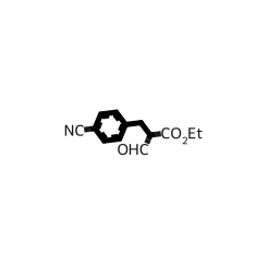 CCOC(=O)C(C=O)Cc1ccc(C#N)cc1